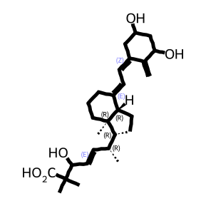 C=C1/C(=C\C=C2/CCC[C@]3(C)[C@@H]([C@H](C)/C=C/C(O)C(C)(C)C(=O)O)CC[C@@H]23)CC(O)CC1O